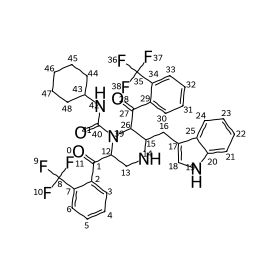 O=C(c1ccccc1C(F)(F)F)C1CNC(Cc2c[nH]c3ccccc23)C(C(=O)c2ccccc2C(F)(F)F)N1C(=O)NC1CCCCC1